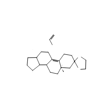 C=CC[C@H]1C[C@@]2(C)C(CC[C@@H]2O)C2CC[C@@]3(O)CC4(CCC3=C21)OCCO4